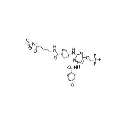 CS(=O)(=O)NC(=O)CCCCNC(=O)c1ccc(Nc2nc(NC3(c4ccc(Cl)cc4)CC3)nc(OCC(F)(F)F)n2)cc1